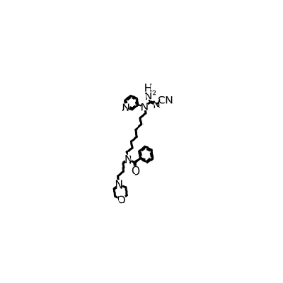 N#CN=C(N)N(CCCCCCCCN(CCCN1CCOCC1)C(=O)c1ccccc1)c1cccnc1